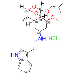 C=C1[C@H]2O[C@@H](OCC(C)C)[C@H]3[C@H]1C[C@H](NCCc1c[nH]c4ccccc14)C[C@@]3(OC)O2.Cl